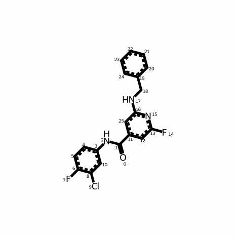 O=C(Nc1ccc(F)c(Cl)c1)c1cc(F)nc(NCc2ccccc2)c1